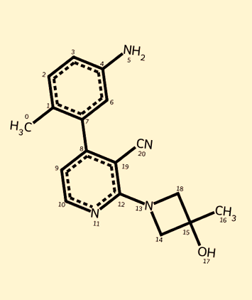 Cc1ccc(N)cc1-c1ccnc(N2CC(C)(O)C2)c1C#N